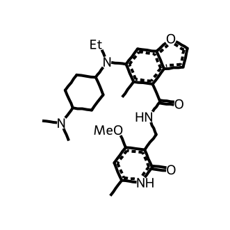 CCN(c1cc2occc2c(C(=O)NCc2c(OC)cc(C)[nH]c2=O)c1C)C1CCC(N(C)C)CC1